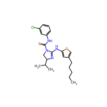 CCCCCc1csc(NC2=NC(C(C)C)CN2C(=S)Nc2cccc(Cl)c2)c1